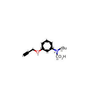 C#CCOc1cccc(N(C(=O)O)C(C)(C)C)c1